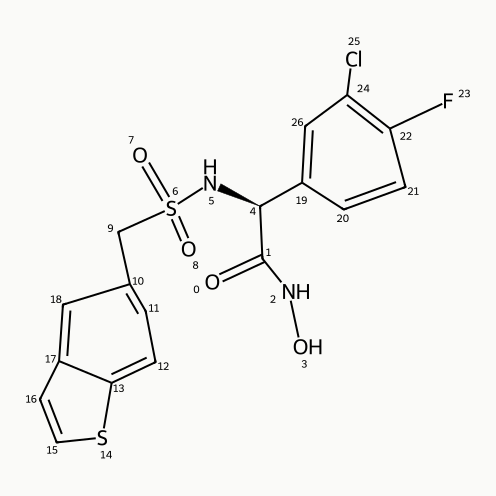 O=C(NO)[C@@H](NS(=O)(=O)Cc1ccc2sccc2c1)c1ccc(F)c(Cl)c1